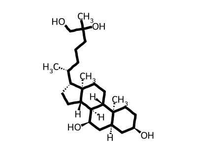 C[C@H](CCCC(C)(O)CO)[C@H]1CC[C@H]2[C@@H]3[C@H](O)C[C@@H]4C[C@H](O)CC[C@]4(C)[C@H]3CC[C@]12C